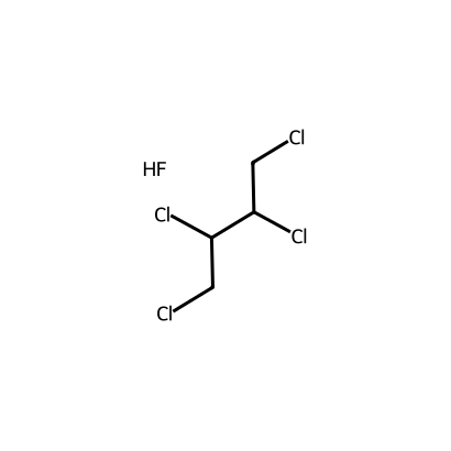 ClCC(Cl)C(Cl)CCl.F